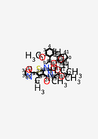 COc1ccccc1[C@H](Cn1c(=O)n([C@H](C)C(=O)OC(C)(C)C)c(=O)c2c(C)c(-c3ncco3)sc21)O[C@@H]1C[C@H]2CC[C@@H](C1)O2